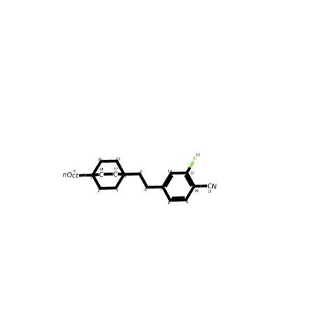 CCCCCCCCC12CCC(CCc3ccc(C#N)c(F)c3)(CC1)CC2